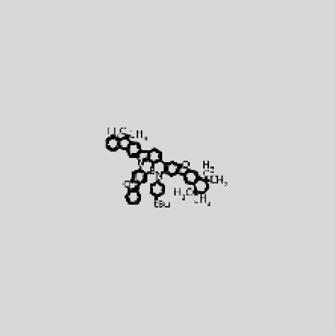 CC(C)(C)c1ccc(N2B3c4cc5c(cc4-n4c6cc7c(cc6c6ccc(c3c64)-c3cc4oc6cc8c(cc6c4cc32)C(C)(C)CCC8(C)C)C(C)(C)c2ccccc2-7)oc2ccccc25)cc1